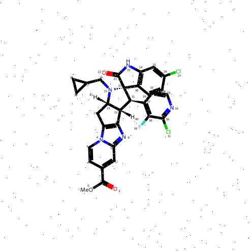 COC(=O)c1ccn2c3c(nc2c1)[C@@H]1[C@H](C3)N(CC2CC2)[C@@]2(C(=O)Nc3cc(Cl)ccc32)[C@H]1c1ccnc(Cl)c1F